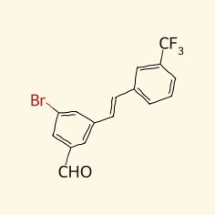 O=Cc1cc(Br)cc(/C=C/c2cccc(C(F)(F)F)c2)c1